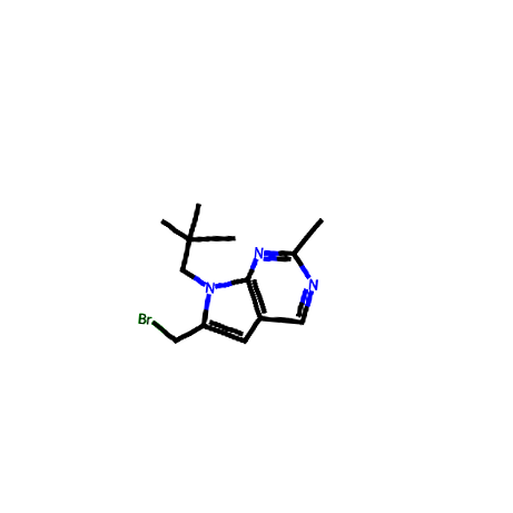 Cc1ncc2cc(CBr)n(CC(C)(C)C)c2n1